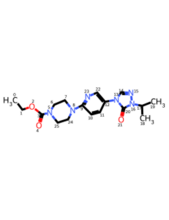 CCOC(=O)N1CCN(c2ccc(-n3cnn(C(C)C)c3=O)cn2)CC1